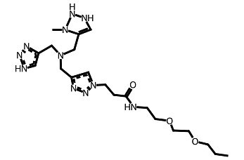 CCCOCCOCCNC(=O)CCn1cc(CN(CC2=CNNN2C)Cc2c[nH]nn2)nn1